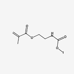 C=C(C)C(=O)OCCNC(=O)OI